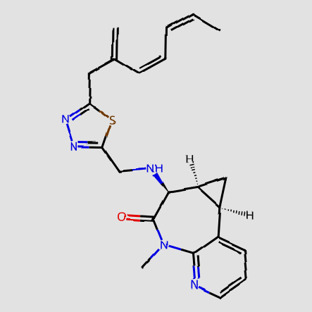 C=C(/C=C\C=C/C)Cc1nnc(CN[C@@H]2C(=O)N(C)c3ncccc3[C@@H]3C[C@H]23)s1